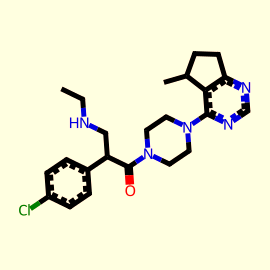 CCNCC(C(=O)N1CCN(c2ncnc3c2C(C)CC3)CC1)c1ccc(Cl)cc1